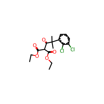 CCOC(=O)C(C(=O)OCC)C(=O)C(C)(C)c1cccc(Cl)c1Cl